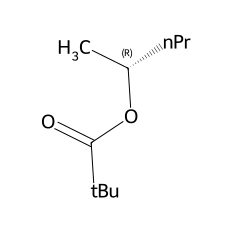 CCC[C@@H](C)OC(=O)C(C)(C)C